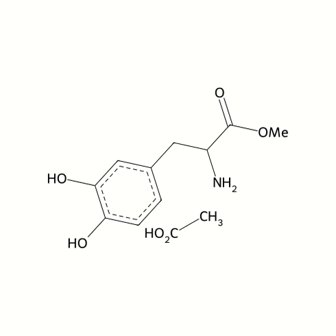 CC(=O)O.COC(=O)C(N)Cc1ccc(O)c(O)c1